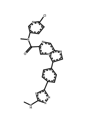 CNc1nnc(-c2ccc(-c3cnc4cnc(C(=O)N(C)c5ccc(Cl)nc5)cn34)cc2)s1